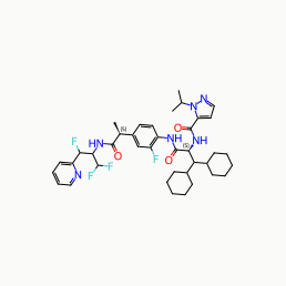 CC(C)n1nccc1C(=O)N[C@H](C(=O)Nc1ccc([C@H](C)C(=O)NC(C(F)F)C(F)c2ccccn2)cc1F)C(C1CCCCC1)C1CCCCC1